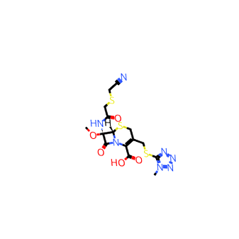 CO[C@]1(NC(=O)CSCC#N)C(=O)N2C(C(=O)O)=C(CSc3nnnn3C)CS[C@H]21